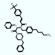 CCCCCc1ccc(CN(C(=O)/C=C/c2ccc(C(F)(F)F)cc2)[C@@H](Cc2ccncc2)C(=O)N2CCN(Cc3ccccc3)CC2)cc1